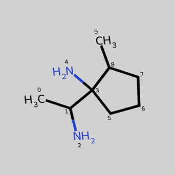 CC(N)C1(N)CCCC1C